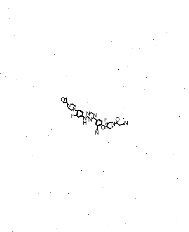 N#CCC(=O)N1CC[C@H](Oc2ccc(-c3ncnc(Nc4ccc(N5CCN(C6COC6)CC5)c(F)c4)n3)cc2C#N)[C@@H](F)C1